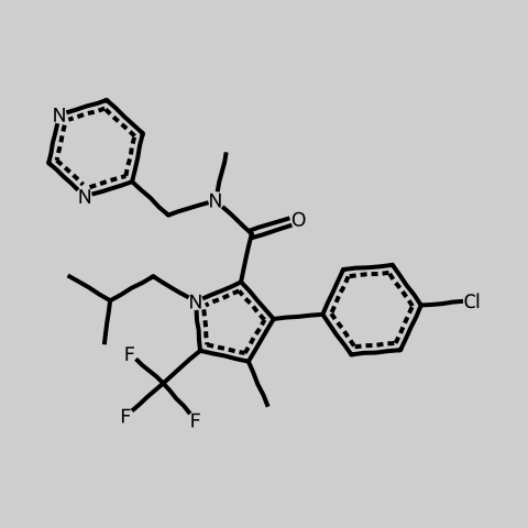 Cc1c(-c2ccc(Cl)cc2)c(C(=O)N(C)Cc2ccncn2)n(CC(C)C)c1C(F)(F)F